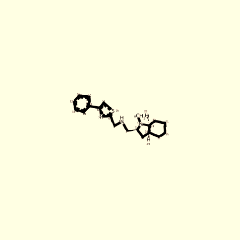 CN1[C@H](CNCc2nc(-c3ccccc3)cs2)C[C@@H]2CCCC[C@@H]21